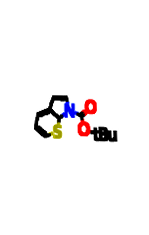 CC(C)(C)OC(=O)N1C=CC2=CC=CSC21